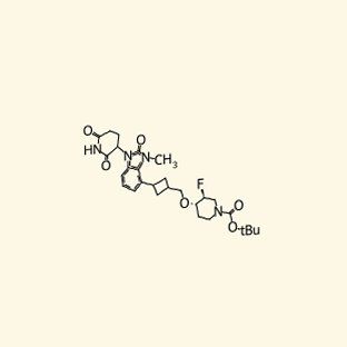 Cn1c(=O)n(C2CCC(=O)NC2=O)c2cccc(C3CC(CO[C@H]4CCN(C(=O)OC(C)(C)C)C[C@@H]4F)C3)c21